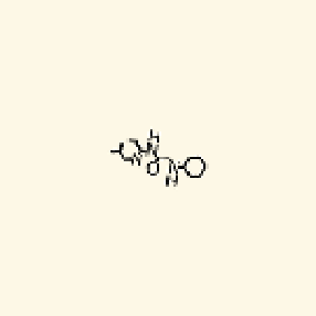 C=C(C)/C=N\C(=C/C)NC(=O)CNC1CCCCC1